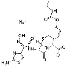 CCNC(=O)OC/C=C\C1=C(C(=O)[O-])N2C(=O)C(NC(=O)/C(=N\O)c3csc(N)n3)[C@@H]2SC1.[Na+]